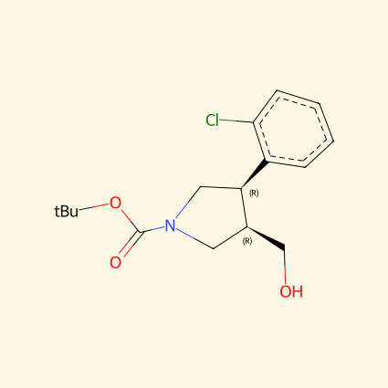 CC(C)(C)OC(=O)N1C[C@H](CO)[C@H](c2ccccc2Cl)C1